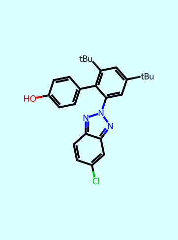 CC(C)(C)c1cc(-n2nc3ccc(Cl)cc3n2)c(-c2ccc(O)cc2)c(C(C)(C)C)c1